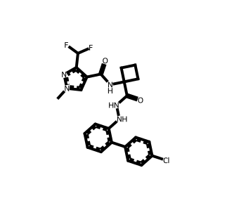 Cn1cc(C(=O)NC2(C(=O)NNc3ccccc3-c3ccc(Cl)cc3)CCC2)c(C(F)F)n1